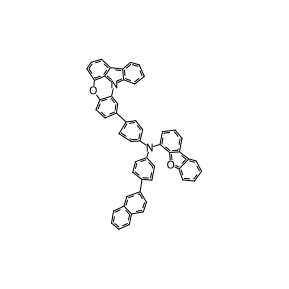 c1ccc2cc(-c3ccc(N(c4ccc(-c5ccc6c(c5)-n5c7ccccc7c7cccc(c75)O6)cc4)c4cccc5c4oc4ccccc45)cc3)ccc2c1